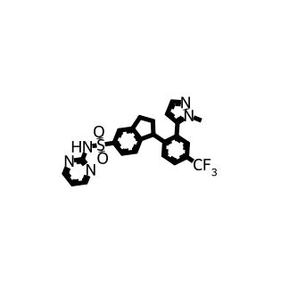 Cn1nccc1-c1cc(C(F)(F)F)ccc1C1CCc2cc(S(=O)(=O)Nc3ncccn3)ccc21